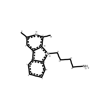 Cc1cc2c3ccccc3n(CCCCN)c2c(C)n1